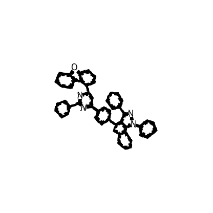 c1ccc(-c2nc(-c3ccc(-c4cc5ccccc5c5c4c(-c4ccccc4)nn5-c4ccccc4)cc3)cc(-c3cccc4oc5ccccc5c34)n2)cc1